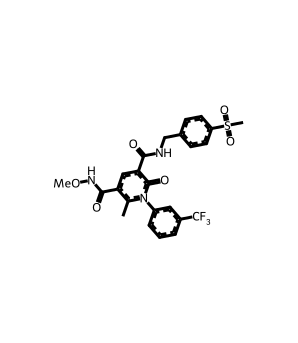 CONC(=O)c1cc(C(=O)NCc2ccc(S(C)(=O)=O)cc2)c(=O)n(-c2cccc(C(F)(F)F)c2)c1C